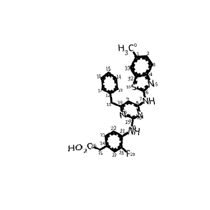 Cc1ccc2nc(Nc3cc(Cc4ccccc4)nc(Nc4ccc(CC(=O)O)cc4F)n3)sc2c1